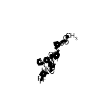 CCOC(=O)COc1cccc(SCc2cccc(C(=O)NC3=CC=C(N4CCCCC4)C(C)C3c3cc(C(=O)NCc4cccc(C(F)(F)F)c4)ccn3)c2)c1